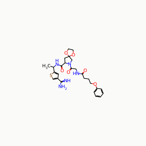 CC(NC(=O)C1CC2(CN1C(=O)CNC(=O)CCCOc1ccccc1)OCCO2)c1cc(C(=N)N)cs1